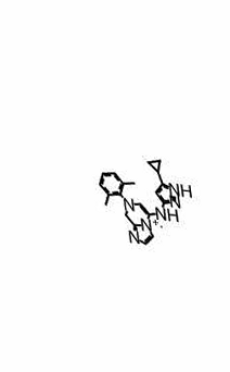 Cc1cccc(C)c1N1C=C(Nc2cc(C3CC3)[nH]n2)[N+]2C=CN=C2C1